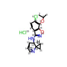 CC(C)Oc1c(Cl)ccc2c(N[C@@H]3C4CCN(CC4)C34CC4)noc12.Cl